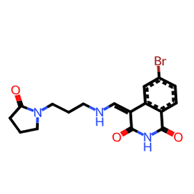 O=C1NC(=O)c2ccc(Br)cc2C1=CNCCCN1CCCC1=O